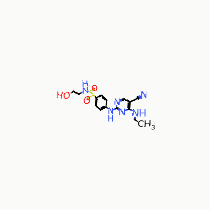 CCNc1nc(Nc2ccc(S(=O)(=O)NCCO)cc2)ncc1C#N